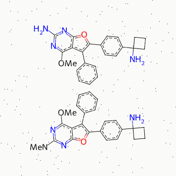 CNc1nc(OC)c2c(-c3ccccc3)c(-c3ccc(C4(N)CCC4)cc3)oc2n1.COc1nc(N)nc2oc(-c3ccc(C4(N)CCC4)cc3)c(-c3ccccc3)c12